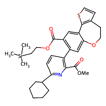 COC(=O)c1nc(C2CCCCC2)ccc1-c1cc2c(cc1C(=O)OCC[Si](C)(C)C)-c1sccc1CCO2